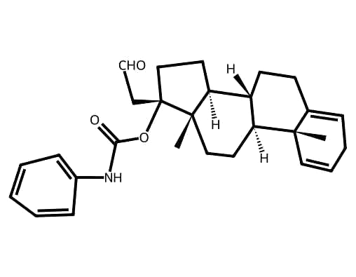 C[C@]12C=CCC=C1CC[C@@H]1[C@@H]2CC[C@@]2(C)[C@H]1CC[C@@]2(CC=O)OC(=O)Nc1ccccc1